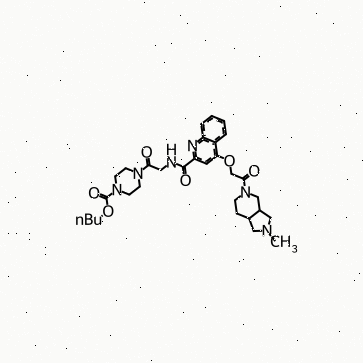 CCCCOC(=O)N1CCN(C(=O)CNC(=O)c2cc(OCC(=O)N3CCC4CN(C)CC4C3)c3ccccc3n2)CC1